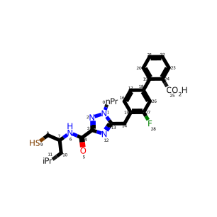 CCCn1nc(C(=O)NC(CS)CC(C)C)nc1Cc1ccc(-c2ccccc2C(=O)O)cc1F